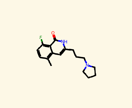 Cc1ccc(F)c2c(=O)[nH]c(CCCN3CCCC3)cc12